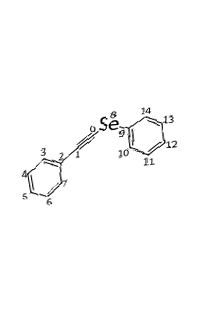 C(#Cc1ccccc1)[Se]c1ccccc1